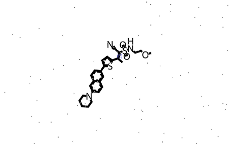 COCCNS(=O)(=O)/C(C#N)=C(\C)c1ccc(-c2ccc3cc(N4CCCCC4)ccc3c2)s1